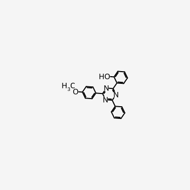 COc1ccc(-c2nc(-c3ccccc3)nc(-c3ccccc3O)n2)cc1